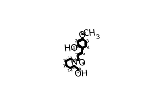 COc1ccc(/C=C/C(=O)N2CCCCC2CO)c(O)c1